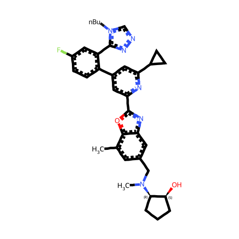 CCCCn1cnnc1-c1cc(F)ccc1-c1cc(-c2nc3cc(CN(C)[C@@H]4CCC[C@@H]4O)cc(C)c3o2)nc(C2CC2)c1